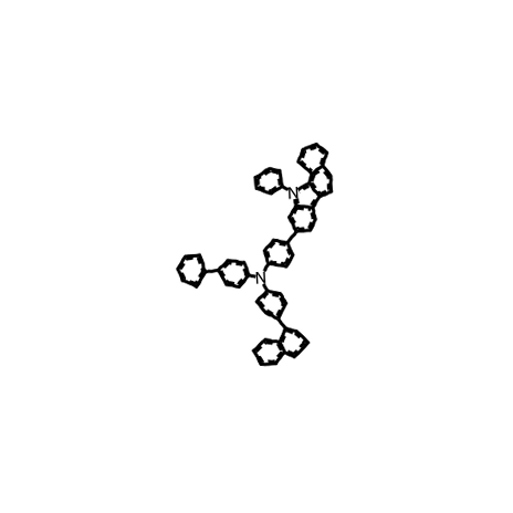 c1ccc(-c2ccc(N(c3ccc(-c4ccc5c6ccc7ccccc7c6n(-c6ccccc6)c5c4)cc3)c3ccc(-c4cccc5ccccc45)cc3)cc2)cc1